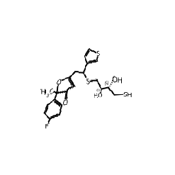 CC1(c2ccc(F)cc2)OC(CC(SC[C@H](O)[C@H](O)CS)c2ccsc2)=CC1=O